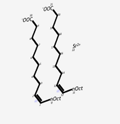 CCCCCCCC/C=C\CCCCCCCC(=O)[O-].CCCCCCCC/C=C\CCCCCCCC(=O)[O-].[Sr+2]